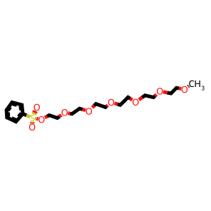 COCCOCCOCCOCCOCCOCCOS(=O)(=O)c1ccccc1